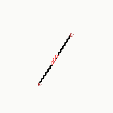 BrCCCCCCCC=CCCCOCOCOCCCC=CCCCCCCCBr